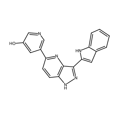 Oc1cncc(-c2ccc3[nH]nc(-c4cc5ccccc5[nH]4)c3n2)c1